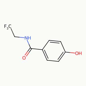 O=C(NCC(F)(F)F)c1ccc(O)cc1